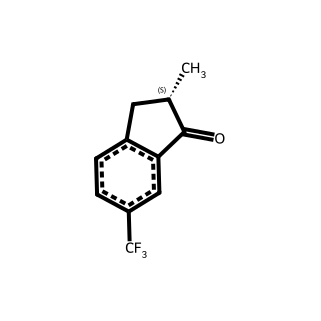 C[C@H]1Cc2ccc(C(F)(F)F)cc2C1=O